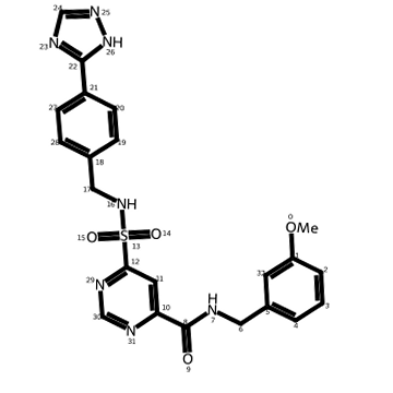 COc1cccc(CNC(=O)c2cc(S(=O)(=O)NCc3ccc(-c4ncn[nH]4)cc3)ncn2)c1